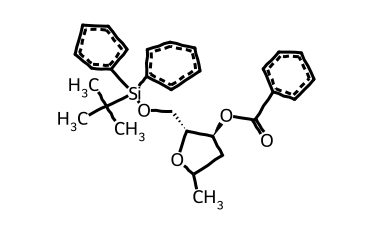 CC1C[C@H](OC(=O)c2ccccc2)[C@@H](CO[Si](c2ccccc2)(c2ccccc2)C(C)(C)C)O1